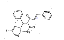 O=C(/C=C/c1cccnc1)c1c(-c2ccccc2)c2cc(F)cnc2[nH]c1=O